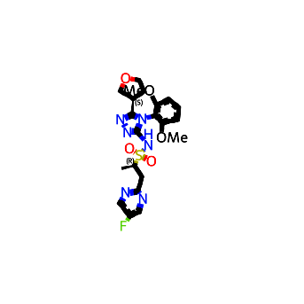 COc1cccc(OC)c1-n1c(NS(=O)(=O)[C@H](C)Cc2ncc(F)cn2)nnc1[C@@H]1CCOC1